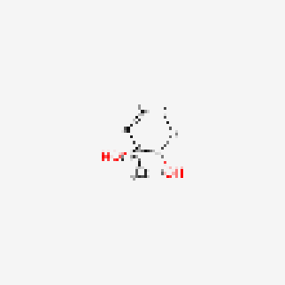 CC[C@@]1(O)C=CCCC1O